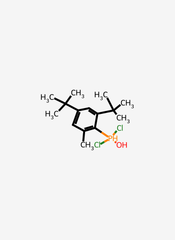 Cc1cc(C(C)(C)C)cc(C(C)(C)C)c1[PH](O)(Cl)Cl